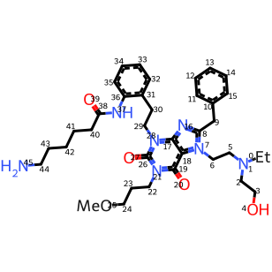 CCN(CCO)CCn1c(Cc2ccccc2)nc2c1c(=O)n(CCCOC)c(=O)n2CCc1ccccc1NC(=O)CCCCCN